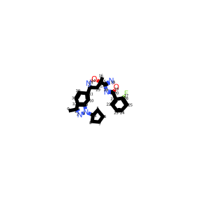 Cc1nn(C2CCCC2)c2cc(C3=NOC(C)(c4noc(-c5ccccc5F)n4)C3)ccc12